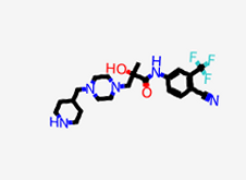 CC(O)(CN1CCN(CC2CCNCC2)CC1)C(=O)Nc1ccc(C#N)c(C(F)(F)F)c1